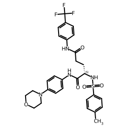 Cc1ccc(S(=O)(=O)N[C@@H](CCC(=O)Nc2ccc(C(F)(F)F)cc2)C(=O)Nc2ccc(N3CCOCC3)cc2)cc1